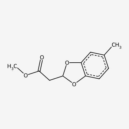 COC(=O)CC1Oc2ccc(C)cc2O1